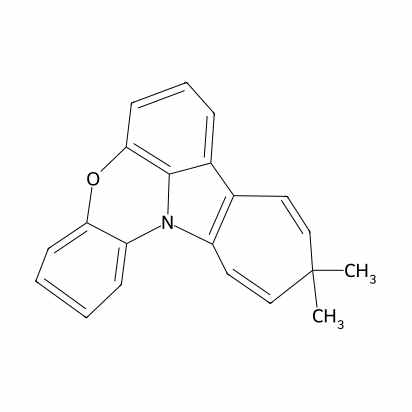 CC1(C)C=Cc2c(n3c4c(cccc24)Oc2ccccc2-3)C=C1